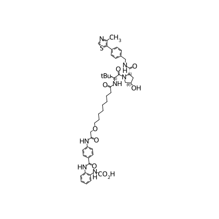 Cc1ncsc1-c1ccc(CNC(=O)[C@@H]2C[C@@H](O)CN2C(=O)[C@@H](NC(=O)CCCCCCCCOCC(=O)Nc2ccc(C(=O)Nc3ccccc3NC(=O)O)cc2)C(C)(C)C)cc1